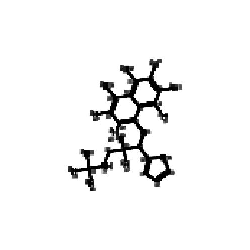 [2H]c1c([2H])c([2H])c2c(OC(c3cccs3)C([2H])([2H])CNC([2H])([2H])[2H])c([2H])c([2H])c([2H])c2c1[2H]